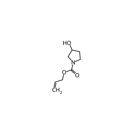 C=CCOC(=O)N1[CH]CC(O)C1